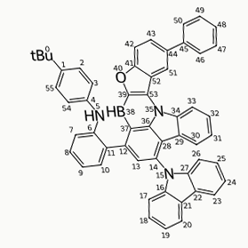 CC(C)(C)c1ccc(Nc2ccccc2-c2cc(-n3c4ccccc4c4ccccc43)c3c4ccccc4n4c3c2Bc2oc3ccc(-c5ccccc5)cc3c2-4)cc1